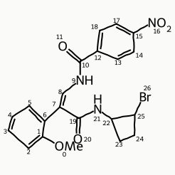 COc1ccccc1C(=CNC(=O)c1ccc([N+](=O)[O-])cc1)C(=O)NC1CCC1Br